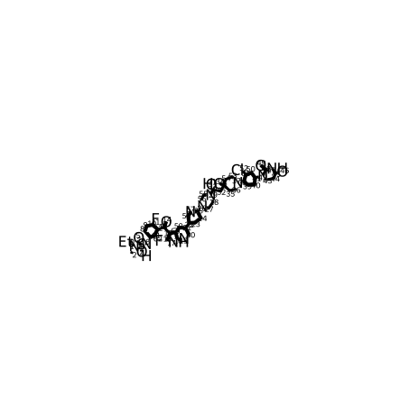 CCN(C)S(=O)(=O)Nc1ccc(F)c(C(=O)c2c[nH]c3ncc(-c4ccc(N5CCN(C(=O)CC6(O)CCN(c7ccc(N8CCC(=O)NC8=O)cc7Cl)CC6)CC5)nc4)cc23)c1F